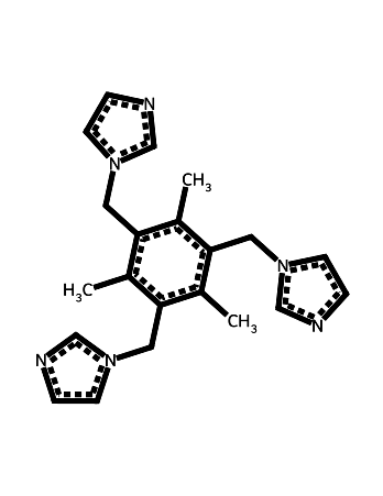 Cc1c(Cn2ccnc2)c(C)c(Cn2ccnc2)c(C)c1Cn1ccnc1